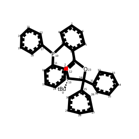 CC(C)(C)[C@@H]1N=C(c2ccccc2P(c2ccccc2)c2ccccc2)OC1(c1ccccc1)c1ccccc1